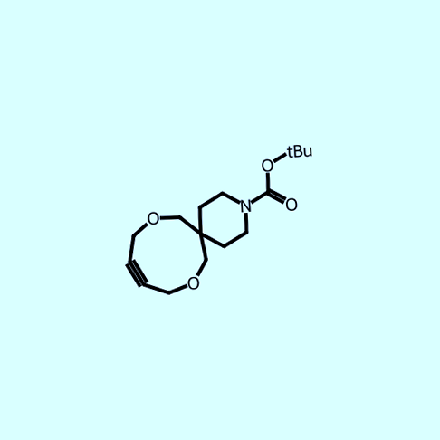 CC(C)(C)OC(=O)N1CCC2(CC1)COCC#CCOC2